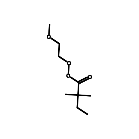 CCC(C)(C)C(=O)OOCCOC